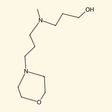 CN(CCCO)CCCN1CCOCC1